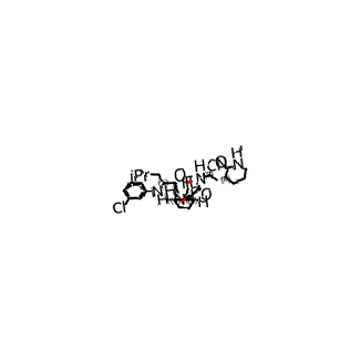 CC(C)C[C@H](Nc1cccc(Cl)c1)C(=O)N1[C@H]2CC[C@@H]([C@@H]1C(=O)N[C@H](C#N)C[C@H]1CCCNC1=O)C(F)(F)C2